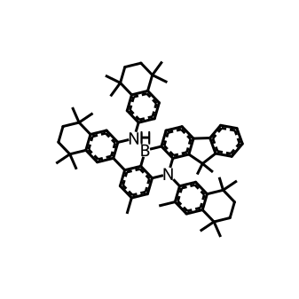 Cc1cc(-c2cc3c(cc2Nc2ccc4c(c2)C(C)(C)CCC4(C)C)C(C)(C)CCC3(C)C)c2c(c1)N(c1cc3c(cc1C)C(C)(C)CCC3(C)C)c1c(ccc3c1C(C)(C)c1ccccc1-3)B2